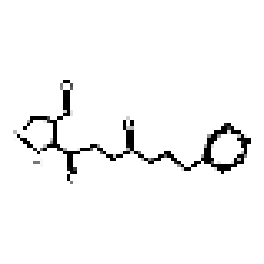 O=C[C@@H]1CSNC1C(=O)CCC(=O)CCCc1ccccc1